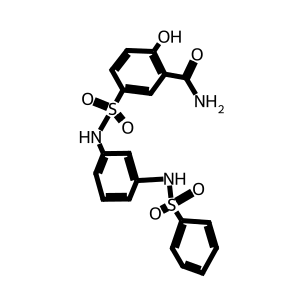 NC(=O)c1cc(S(=O)(=O)Nc2cccc(NS(=O)(=O)c3ccccc3)c2)ccc1O